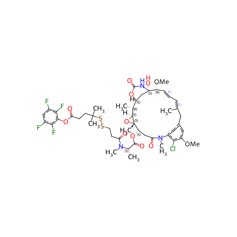 COc1cc2cc(c1Cl)N(C)C(=O)C[C@H](OC(=O)[C@H](C)N(C)C(=O)CCSSC(C)(C)CCC(=O)Oc1c(F)c(F)cc(F)c1F)[C@]1(C)O[C@H]1[C@H](C)[C@@H]1C[C@@](O)(NC(=O)O1)[C@H](OC)/C=C/C=C(\C)C2